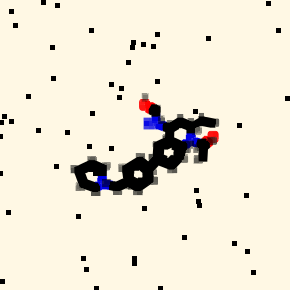 CC[C@@H]1CC(NC=O)c2cc(-c3ccc(CN4CCCCC4)cc3)ccc2N1C(C)=O